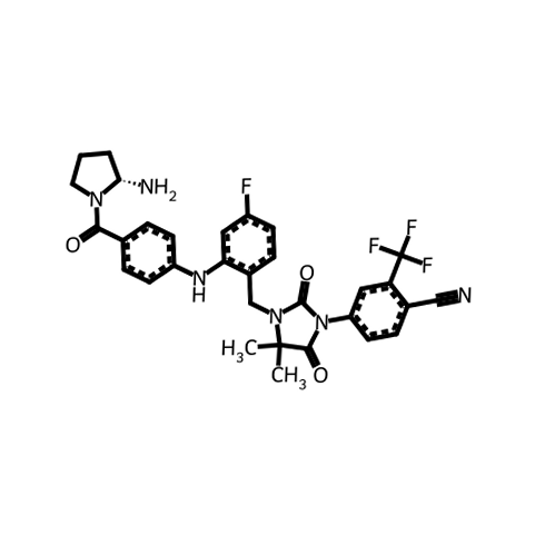 CC1(C)C(=O)N(c2ccc(C#N)c(C(F)(F)F)c2)C(=O)N1Cc1ccc(F)cc1Nc1ccc(C(=O)N2CCC[C@@H]2N)cc1